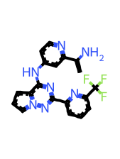 C=C(N)c1cc(Nc2nc(-c3cccc(C(F)(F)F)n3)nn3cccc23)ccn1